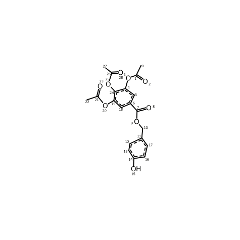 CC(=O)Oc1cc(C(=O)OCc2ccc(O)cc2)cc(OC(C)=O)c1OC(C)=O